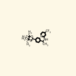 CC(Nc1cc(C(F)(F)F)ccn1)c1ccc(B2OC(C)(C)C(C)(C)O2)cc1